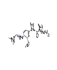 CN(C)/C=N/c1ccc(NC(=O)NN)cc1C#N